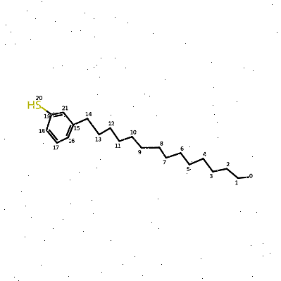 CCCCCCCCCCCCCCCc1cccc(S)c1